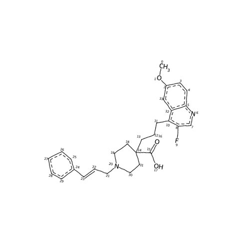 COc1ccc2ncc(F)c(CCCC3(C(=O)O)CCN(CC=Cc4ccccc4)CC3)c2c1